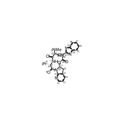 CN[C@@H](C)C(=O)N[C@H](C(=O)N1c2ncccc2C[C@@H]1OC(=O)Nc1nc2ccccc2s1)C(C)C